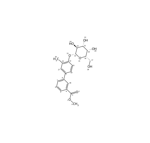 COC(=O)c1cccc(-c2ccc(O[C@H]3O[C@@H](CO)[C@@H](O)[C@@H](O)[C@@H]3O)c(C)c2)c1